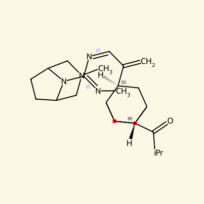 C=C(/C=N\C(=N/C)N1C2CCC1CN(C)C2)[C@H]1CC2CCC1C[C@H]2C(=O)C(C)C